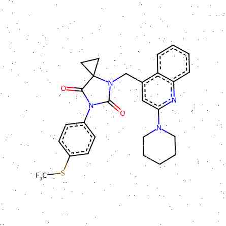 O=C1N(c2ccc(SC(F)(F)F)cc2)C(=O)C2(CC2)N1Cc1cc(N2CCCCC2)nc2ccccc12